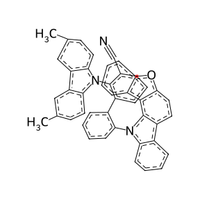 Cc1ccc2c(c1)c1cc(C)ccc1n2-c1c(C#N)cccc1-c1ccccc1-n1c2ccccc2c2ccc3oc4ccccc4c3c21